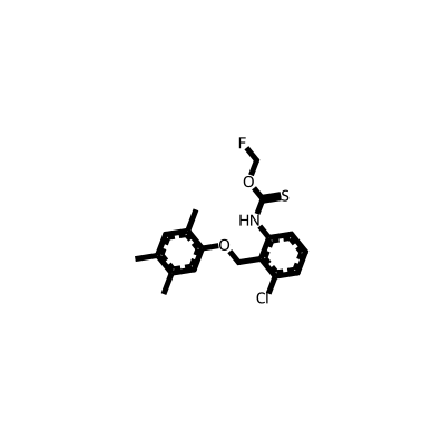 Cc1cc(C)c(OCc2c(Cl)cccc2NC(=S)OCF)cc1C